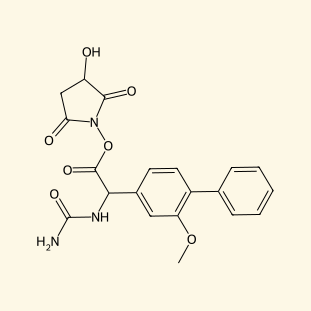 COc1cc(C(NC(N)=O)C(=O)ON2C(=O)CC(O)C2=O)ccc1-c1ccccc1